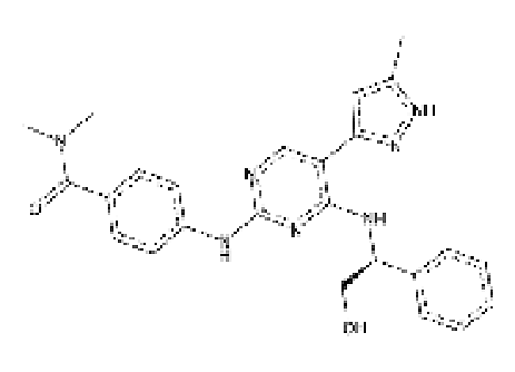 Cc1cc(-c2cnc(Nc3ccc(C(=O)N(C)C)cc3)nc2N[C@H](CO)c2ccccc2)n[nH]1